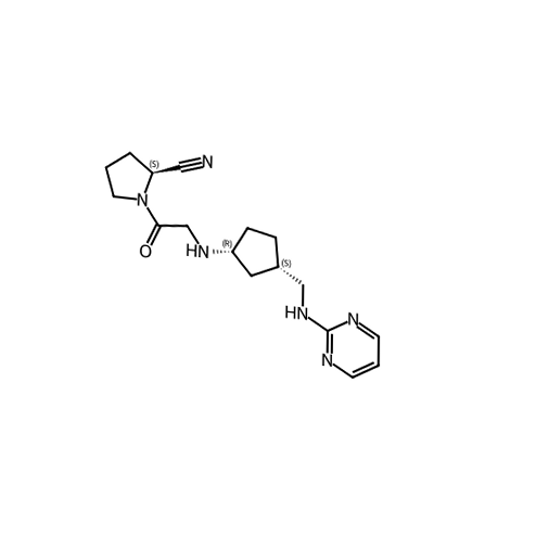 N#C[C@@H]1CCCN1C(=O)CN[C@@H]1CC[C@H](CNc2ncccn2)C1